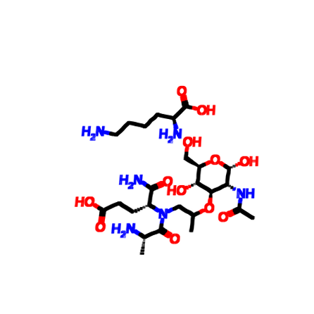 CC(=O)N[C@@H]1[C@@H](OC(C)CN(C(=O)[C@H](C)N)[C@H](CCC(=O)O)C(N)=O)[C@H](O)[C@@H](CO)O[C@@H]1O.NCCCC[C@H](N)C(=O)O